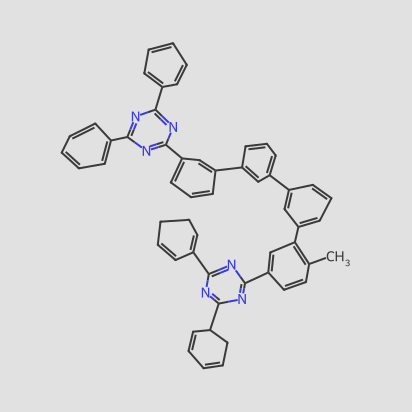 Cc1ccc(-c2nc(C3=CCCC=C3)nc(C3C=CC=CC3)n2)cc1-c1cccc(-c2cccc(-c3cccc(-c4nc(-c5ccccc5)nc(-c5ccccc5)n4)c3)c2)c1